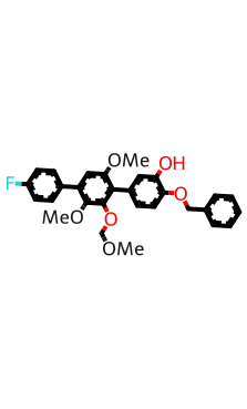 COCOc1c(OC)c(-c2ccc(F)cc2)cc(OC)c1-c1ccc(OCc2ccccc2)c(O)c1